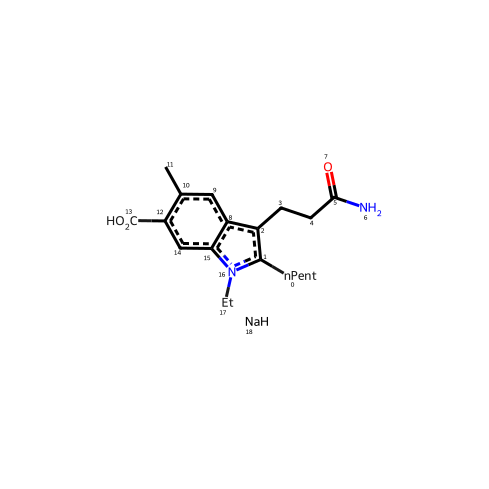 CCCCCc1c(CCC(N)=O)c2cc(C)c(C(=O)O)cc2n1CC.[NaH]